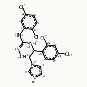 N#CN=C(Nc1cc(Cl)ccc1Cl)NC(Cn1ccnc1)c1ccc(Cl)cc1Cl